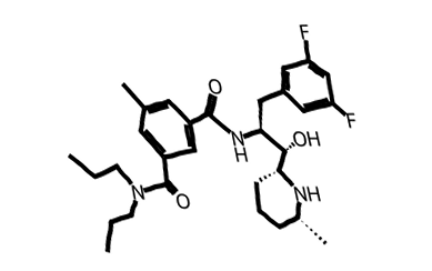 CCCN(CCC)C(=O)c1cc(C)cc(C(=O)N[C@@H](Cc2cc(F)cc(F)c2)[C@H](O)[C@H]2CCC[C@@H](C)N2)c1